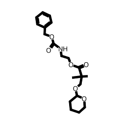 CC(C)(COC1CCCCO1)C(=O)OCCNC(=O)OCc1ccccc1